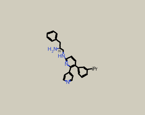 CC(C)c1cccc(-c2ccc(NC[C@@H](N)Cc3ccccc3)nc2-c2ccncc2)c1